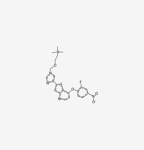 C[Si](C)(C)CCOCn1cnc(-c2cc3nccc(Oc4ccc([N+](=O)[O-])cc4F)c3s2)c1